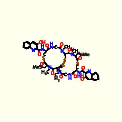 CSC[C@H]1C(=O)SC[C@@H](NC(=O)c2nc3ccccc3cc2O)C(=O)NCC(=O)N(C)C2CSSC[C@@H](C(=O)N1C)N(C)C(=O)CNC(=O)[C@H](NC(=O)c1nc3ccccc3cc1O)CSC(=O)[C@H](CSC)N(C)[C@H]2O